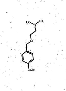 COc1ccc(CNCCN(C)C)cc1